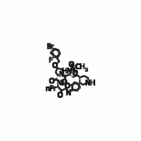 CCC[C@H](NC(=O)[C@@H]1C[C@@H](OCc2ccc(Br)cc2F)CN1C(=O)[C@@H](CCC1CCNCC1)NS(C)(=O)=O)C(=O)c1nc2ccccc2o1